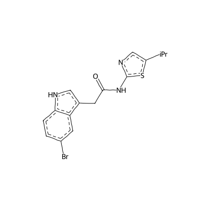 CC(C)c1cnc(NC(=O)Cc2c[nH]c3ccc(Br)cc23)s1